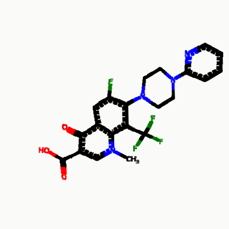 Cn1cc(C(=O)O)c(=O)c2cc(F)c(N3CCN(c4ccccn4)CC3)c(C(F)(F)F)c21